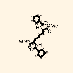 COC(=O)C(=CC=C/C=C(\NC(=O)c1ccccc1)C(=O)OC)NC(=O)c1ccccc1